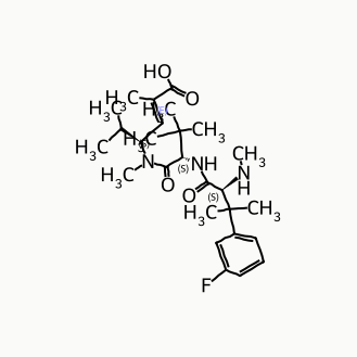 CN[C@H](C(=O)N[C@H](C(=O)N(C)[C@H](/C=C(\C)C(=O)O)C(C)C)C(C)(C)C)C(C)(C)c1cccc(F)c1